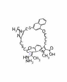 C/C(NN)=C1/CCSCc2cc(n(C)n2)CSc2cc(c3ccccc3c2)OCCCc2c(C(=O)O)n(C)c3c1c(Cl)ccc23